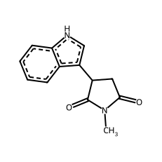 CN1C(=O)CC(c2c[nH]c3ccccc23)C1=O